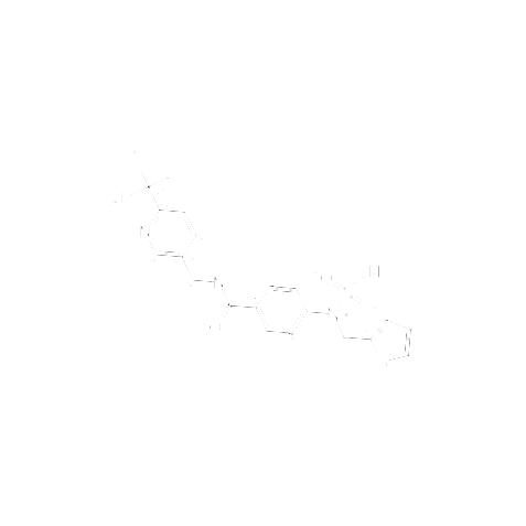 CS(=O)(=O)N(Cc1cccs1)c1ccc(C(=O)NCc2ccc(C(F)(F)F)nc2)cc1